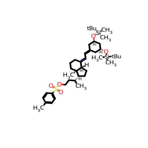 Cc1ccc(S(=O)(=O)OCCC(C)[C@H]2CC[C@H]3/C(=C/C=C4C[C@@H](O[Si](C)(C)C(C)(C)C)C[C@H](O[Si](C)(C)C(C)(C)C)C4)CCC[C@]23C)cc1